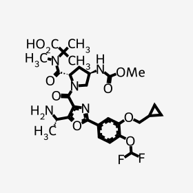 COC(=O)N[C@@H]1C[C@@H](C(=O)N(C)C(C)(C)C(=O)O)N(C(=O)c2nc(-c3ccc(OC(F)F)c(OCC4CC4)c3)oc2[C@H](C)N)C1